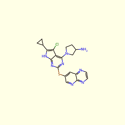 NC1CCN(c2nc(Sc3cnc4nccnc4c3)nc3[nH]c(C4CC4)c(Cl)c23)C1